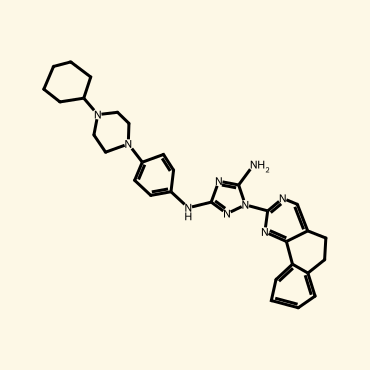 Nc1nc(Nc2ccc(N3CCN(C4CCCCC4)CC3)cc2)nn1-c1ncc2c(n1)-c1ccccc1CC2